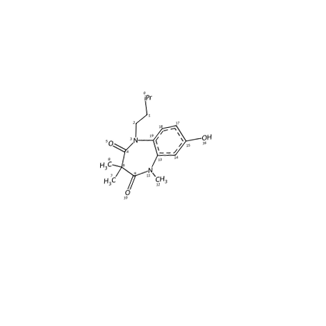 CC(C)CCN1C(=O)C(C)(C)C(=O)N(C)c2cc(O)ccc21